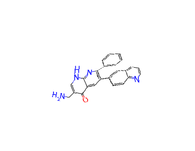 NCc1c[nH]c2nc(-c3ccccc3)c(-c3ccc4ncccc4c3)cc2c1=O